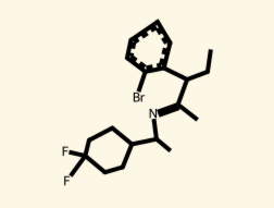 CCC(/C(C)=N/C(C)C1CCC(F)(F)CC1)c1ccccc1Br